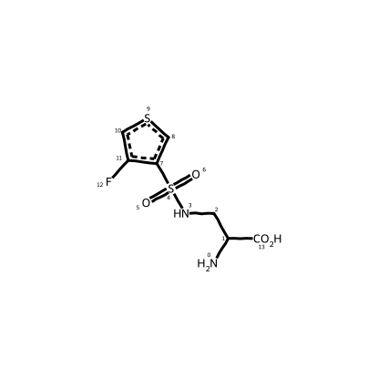 NC(CNS(=O)(=O)c1cscc1F)C(=O)O